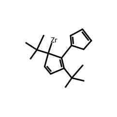 CC(C)(C)C1=C(C2=CC=CC2)[C]([Zr])(C(C)(C)C)C=C1